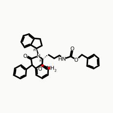 NC(=O)[C@@H](CCCNC(=O)OCc1ccccc1)N(C(=O)C(c1ccccc1)c1ccccc1)[C@@H]1CCc2ccccc21